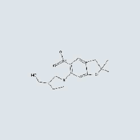 CC1(C)Cc2cc([N+](=O)[O-])c(N3CCC(CO)C3)cc2O1